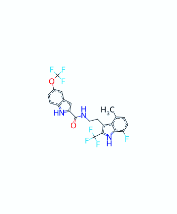 Cc1ccc(F)c2[nH]c(C(F)(F)F)c(CCNC(=O)c3cc4cc(OC(F)(F)F)ccc4[nH]3)c12